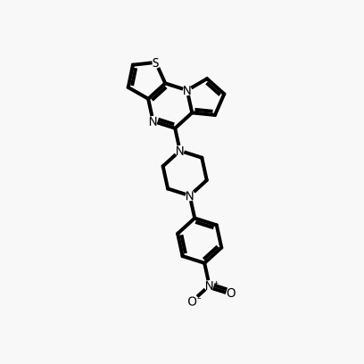 O=[N+]([O-])c1ccc(N2CCN(c3nc4ccsc4n4cccc34)CC2)cc1